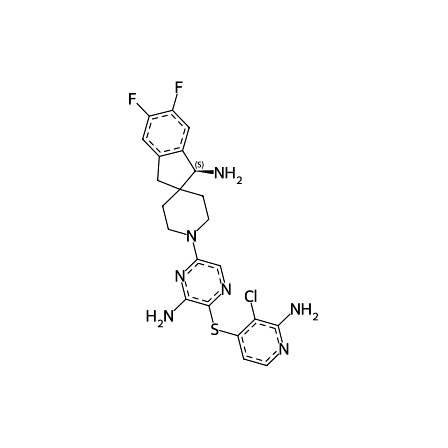 Nc1nc(N2CCC3(CC2)Cc2cc(F)c(F)cc2[C@H]3N)cnc1Sc1ccnc(N)c1Cl